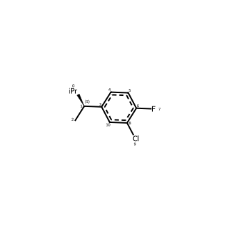 CC(C)[C@H](C)c1ccc(F)c(Cl)c1